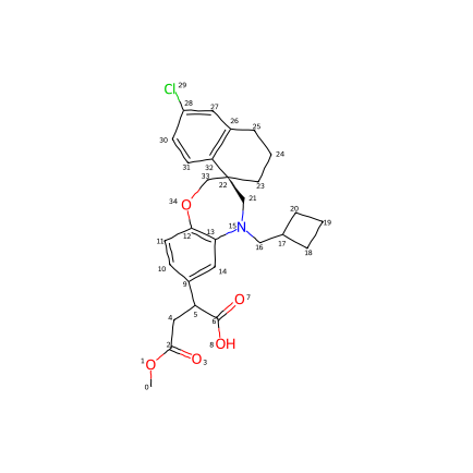 COC(=O)CC(C(=O)O)c1ccc2c(c1)N(CC1CCC1)C[C@@]1(CCCc3cc(Cl)ccc31)CO2